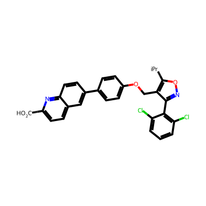 CC(C)c1onc(-c2c(Cl)cccc2Cl)c1COc1ccc(-c2ccc3nc(C(=O)O)ccc3c2)cc1